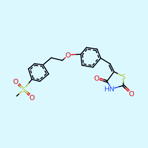 CS(=O)(=O)c1ccc(CCOc2ccc(C=C3SC(=O)NC3=O)cc2)cc1